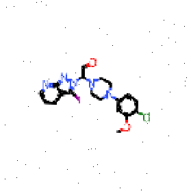 COc1cc(N2CCN(C(C=O)n3nc4ncccc4c3I)CC2)ccc1Cl